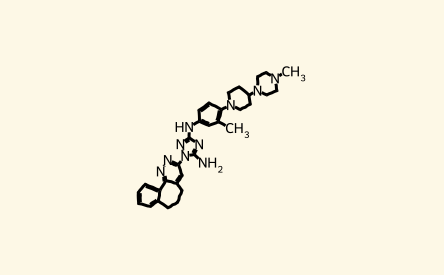 Cc1cc(Nc2nc(N)n(-c3cc4c(nn3)-c3ccccc3CCC4)n2)ccc1N1CCC(N2CCN(C)CC2)CC1